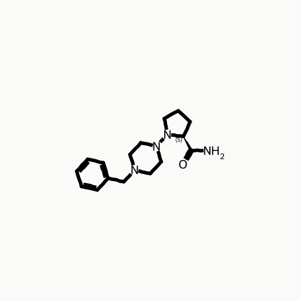 NC(=O)[C@@H]1CCCN1N1CCN(Cc2ccccc2)CC1